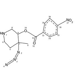 CC1(N=[N+]=[N-])CCNCC1OC(=O)c1ccc([N+](=O)[O-])cc1